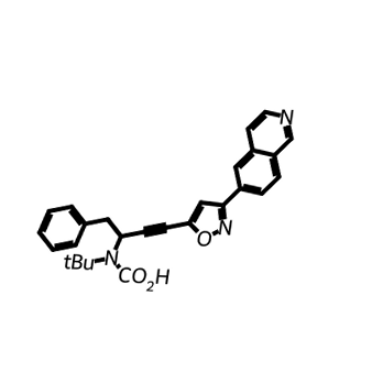 CC(C)(C)N(C(=O)O)C(C#Cc1cc(-c2ccc3cnccc3c2)no1)Cc1ccccc1